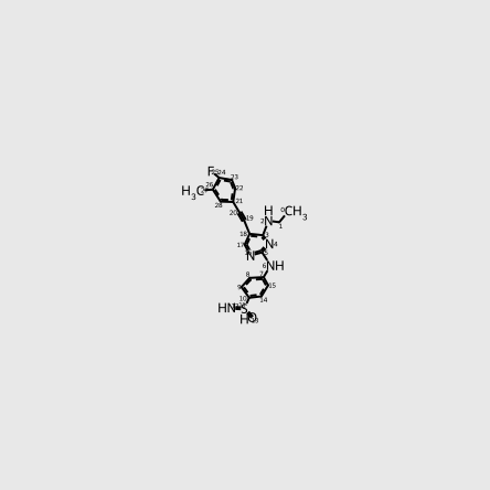 CCNc1nc(Nc2ccc([SH](=N)=O)cc2)ncc1C#Cc1ccc(F)c(C)c1